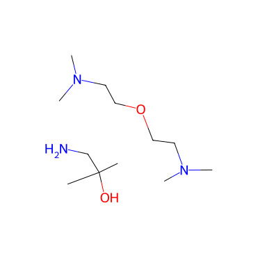 CC(C)(O)CN.CN(C)CCOCCN(C)C